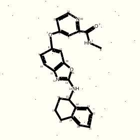 CNC(=O)c1cc(Oc2ccc3nc(NC4CCCc5ccccc54)oc3c2)ccn1